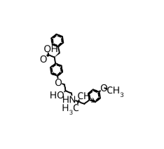 COc1ccc(CC(C)(C)NC[C@@H](O)COc2ccc([C@H](Cc3ccccc3)C(=O)O)cc2)cc1